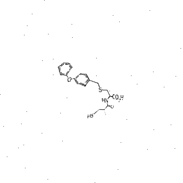 C[C@H](CS)C(=O)N[C@@H](CSCc1ccc(Oc2ccccc2)cc1)C(=O)O